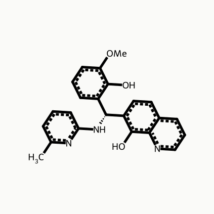 COc1cccc([C@@H](Nc2cccc(C)n2)c2ccc3cccnc3c2O)c1O